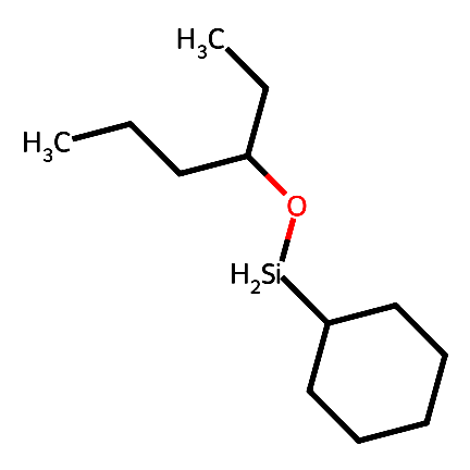 CCCC(CC)O[SiH2]C1CCCCC1